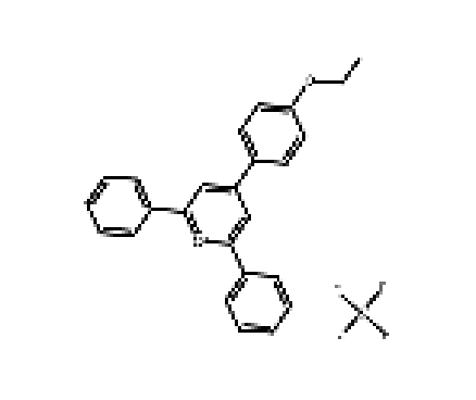 CCOc1ccc(-c2cc(-c3ccccc3)[o+]c(-c3ccccc3)c2)cc1.F[B-](F)(F)F